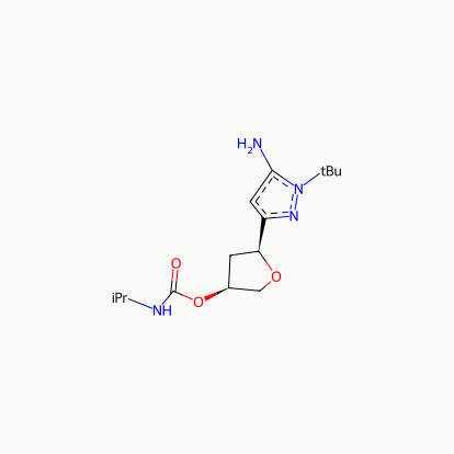 CC(C)NC(=O)O[C@@H]1CO[C@H](c2cc(N)n(C(C)(C)C)n2)C1